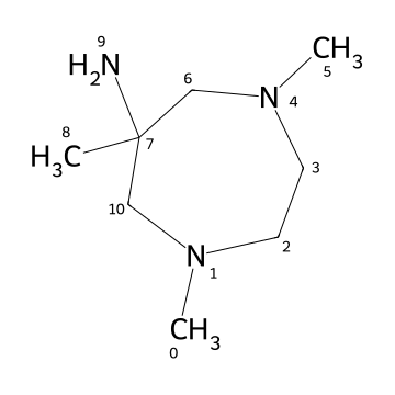 CN1CCN(C)CC(C)(N)C1